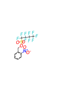 O=[N+]([O-])c1ccccc1COS(=O)(=O)C(F)(F)C(F)(F)C(F)(F)C(F)(F)F